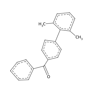 Cc1cccc(C)c1-c1ccc(C(=O)c2ccccc2)cc1